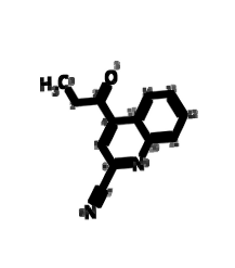 CCC(=O)c1cc(C#N)nc2ccccc12